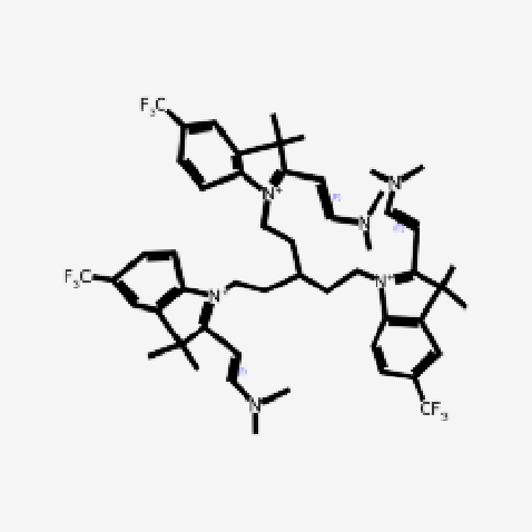 CN(C)/C=C/C1=[N+](CCC(CC[N+]2=C(/C=C/N(C)C)C(C)(C)c3cc(C(F)(F)F)ccc32)CC[N+]2=C(/C=C/N(C)C)C(C)(C)c3cc(C(F)(F)F)ccc32)c2ccc(C(F)(F)F)cc2C1(C)C